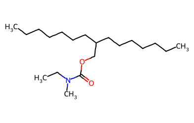 CCCCCCCC(CCCCCCC)COC(=O)N(C)CC